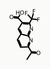 CC(=O)c1ccc2cc(C(=O)O)c(C(F)(F)F)nc2n1